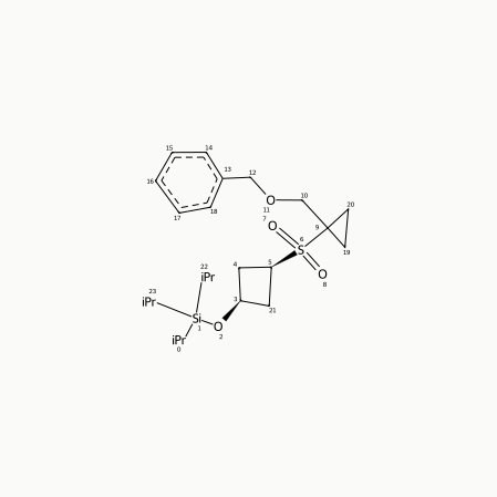 CC(C)[Si](O[C@H]1C[C@@H](S(=O)(=O)C2(COCc3ccccc3)CC2)C1)(C(C)C)C(C)C